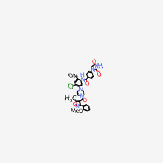 COc1ccccc1-c1noc(C)c1C(=O)N1CCN(c2cc(NC(=O)c3ccc(N4CC(=O)NC4=O)cc3)c(N=O)cc2Cl)CC1